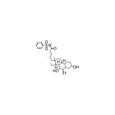 CC[C@@H]1C2C[C@H](O)CC[C@]2(C)[C@H]2CCC3(C)[C@@H]([C@H](C)CCC(=O)N(C)S(=O)(=O)c4ccccc4)CC[C@H]3[C@@H]2[C@@H]1O